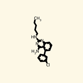 CCCCCNc1nc(N)c2c(-c3cccc(Cl)c3)cccc2n1